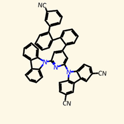 N#Cc1cccc(-c2ccccc2-c2ccccc2-c2cc(-n3c4ccccc4c4ccccc43)nc(-n3c4ccc(C#N)cc4c4cc(C#N)ccc43)c2)c1